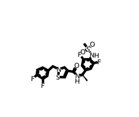 C[C@@H](NC(=O)C1=CSN(Cc2ccc(F)c(F)c2)C1)c1cc(F)c(NS(C)(=O)=O)c(F)c1